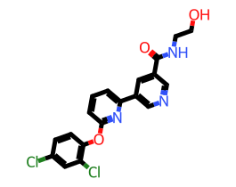 O=C(NCCO)c1cncc(-c2cccc(Oc3ccc(Cl)cc3Cl)n2)c1